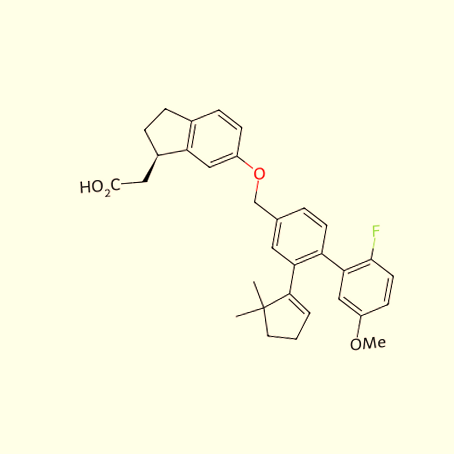 COc1ccc(F)c(-c2ccc(COc3ccc4c(c3)[C@@H](CC(=O)O)CC4)cc2C2=CCCC2(C)C)c1